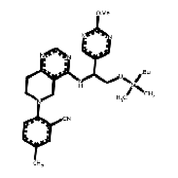 COc1ncc(C(CO[Si](C)(C)C(C)(C)C)Nc2ncnc3c2CN(c2ccc(C)cc2C#N)CC3)cn1